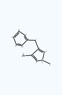 CC(C)c1cn(C)nc1Cc1ccccc1